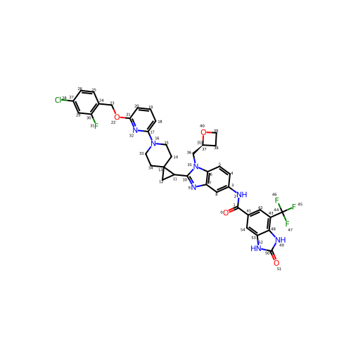 O=C(Nc1ccc2c(c1)nc(C1CC13CCN(c1cccc(OCc4ccc(Cl)cc4F)n1)CC3)n2C[C@@H]1CCO1)c1cc(C(F)(F)F)c2[nH]c(=O)[nH]c2c1